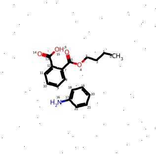 CCCCOC(=O)c1ccccc1C(=O)O.Nc1ccccc1